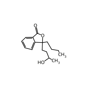 CCCCC1(CCC(C)O)OC(=O)c2ccccc21